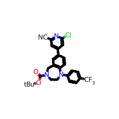 CC(C)(C)OC(=O)N1CCN(c2ccc(C(F)(F)F)cc2)c2ccc(-c3cc(Cl)nc(C#N)c3)cc2C1